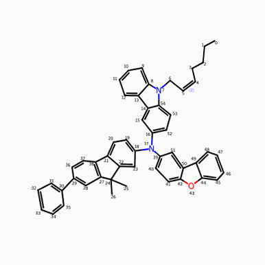 CCCC/C=C\Cn1c2ccccc2c2cc(N(c3ccc4c(c3)C(C)(C)c3cc(-c5ccccc5)ccc3-4)c3ccc4oc5ccccc5c4c3)ccc21